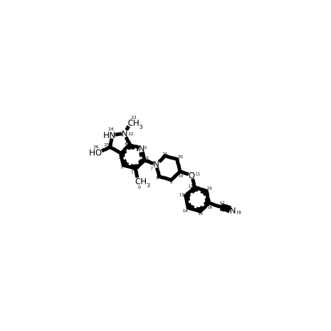 Cc1cc2c(nc1N1CCC(Oc3cccc(C#N)c3)CC1)N(C)NC2O